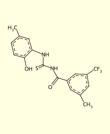 Cc1cc(C(=O)NC(=S)Nc2cc(C)ccc2O)cc(C(F)(F)F)c1